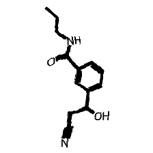 CCCNC(=O)c1cccc(C(O)CC#N)c1